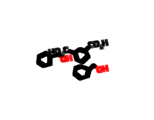 O=C(O)c1cccc(C(=O)O)c1.OCc1ccccc1.OCc1ccccc1